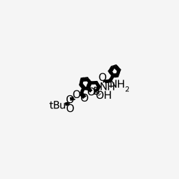 CC(C)(C)C(=O)OCOC(=O)c1cccc2c1OB(O)[C@@H](NC(=O)[C@@H](N)c1ccccc1)C2